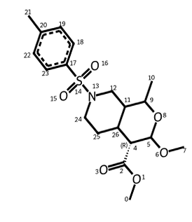 COC(=O)[C@H]1C(OC)OC(C)C2CN(S(=O)(=O)c3ccc(C)cc3)CCC21